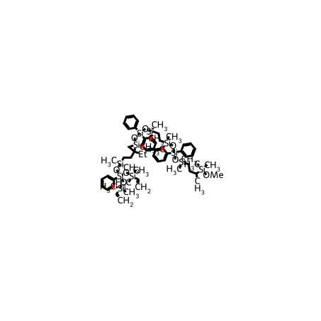 C=C[Si](C)(C)O[Si](O[Si](C)(C)C=C)(O[Si](C)(C)CCC1(CC)C[Si]1(C)O[Si](O[Si](C)(C)CC[Si](C)(C)O[Si](O[Si](C)(C)CCC(C)[Si](C)(C)OC)(c1ccccc1)c1ccccc1)(c1ccccc1)c1ccccc1)c1ccccc1